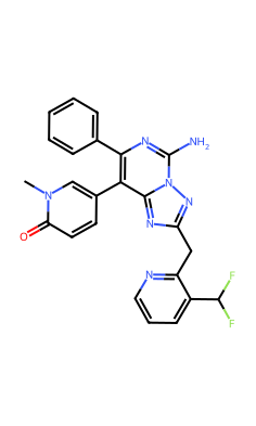 Cn1cc(-c2c(-c3ccccc3)nc(N)n3nc(Cc4ncccc4C(F)F)nc23)ccc1=O